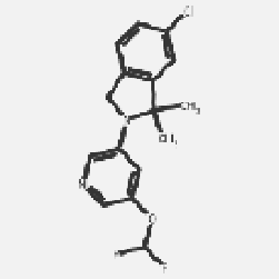 CC1(C)c2cc(Cl)ccc2CN1c1cncc(OC(F)F)c1